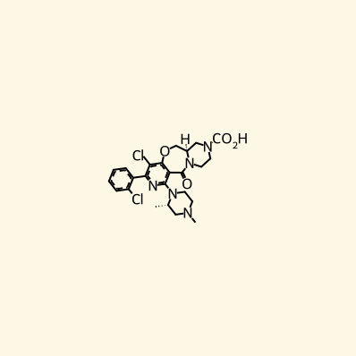 C[C@H]1CN(C)CCN1c1nc(-c2ccccc2Cl)c(Cl)c2c1C(=O)N1CCN(C(=O)O)C[C@@H]1CO2